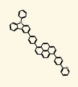 c1ccc(-n2c3ccccc3c3cc(-c4ccc(-c5ccc6ccc7c(-c8ccc(-c9ccccn9)cc8)ccc8ccc5c6c87)cc4)ccc32)cc1